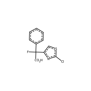 O=C(O)C(F)(c1ccccc1)c1csc(Cl)n1